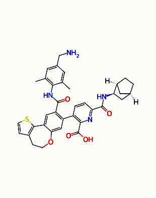 Cc1cc(CN)cc(C)c1NC(=O)c1cc2c(cc1-c1ccc(C(=O)N[C@@H]3C[C@@H]4CC[C@H]3C4)nc1C(=O)O)OCCc1ccsc1-2